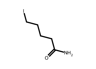 NC(=O)CCCCI